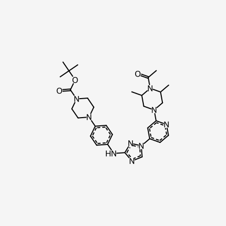 CC(=O)N1C(C)CN(c2cc(-n3cnc(Nc4ccc(N5CCN(C(=O)OC(C)(C)C)CC5)cc4)n3)ccn2)CC1C